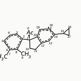 CC(=O)[C@]1(c2cccc(C)c2C)CCc2cc(C3CC3)ncc21